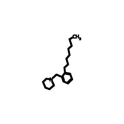 CCCCCCCCc1ccccc1CN1CCCCC1